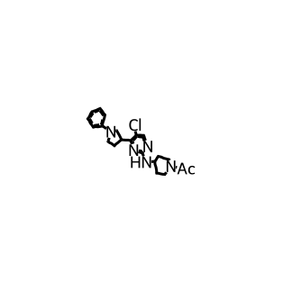 CC(=O)N1CCC(Nc2ncc(Cl)c(C3CCN(c4ccccc4)C3)n2)CC1